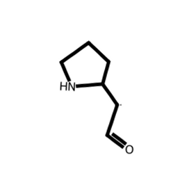 O=C[CH]C1CCCN1